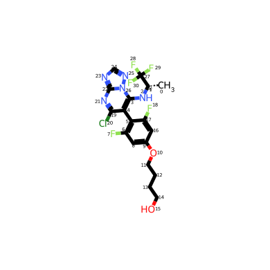 C[C@H](Nc1c(-c2c(F)cc(OCCCCO)cc2F)c(Cl)nc2ncnn12)C(F)(F)F